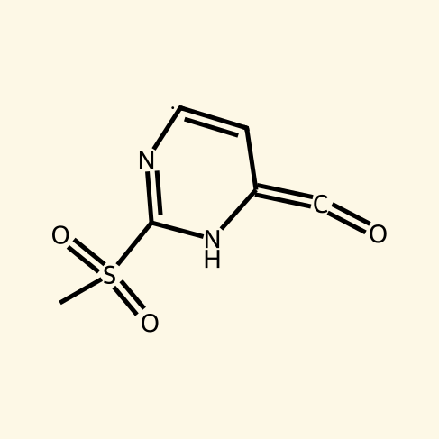 CS(=O)(=O)C1=N[C]=CC(=C=O)N1